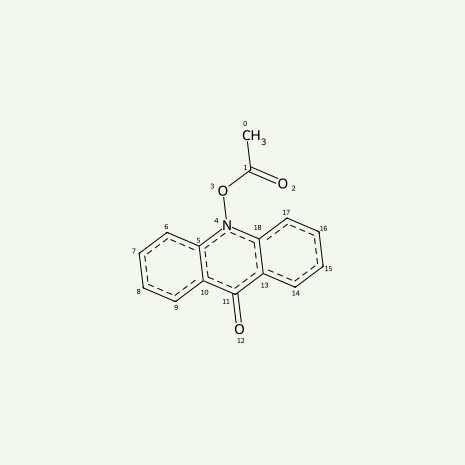 CC(=O)On1c2ccccc2c(=O)c2ccccc21